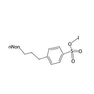 CCCCCCCCCCCCc1ccc(S(=O)(=O)OI)cc1